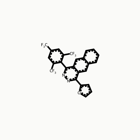 FC(F)(F)c1cc(C(F)(F)F)c(-c2nnc(-c3ccco3)c3cc4ccccc4cc23)c(C(F)(F)F)c1